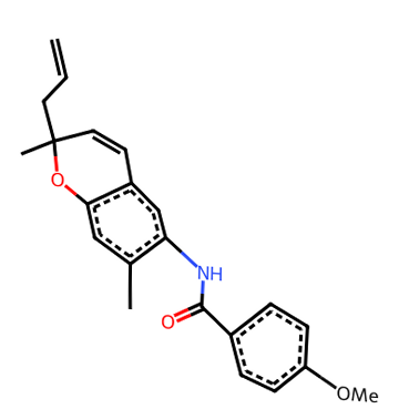 C=CCC1(C)C=Cc2cc(NC(=O)c3ccc(OC)cc3)c(C)cc2O1